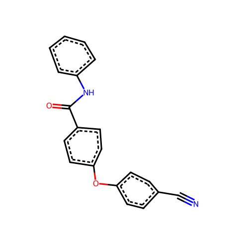 N#Cc1ccc(Oc2ccc(C(=O)Nc3ccccc3)cc2)cc1